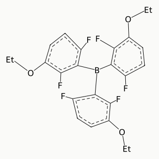 CCOc1ccc(F)c(B(c2c(F)ccc(OCC)c2F)c2c(F)ccc(OCC)c2F)c1F